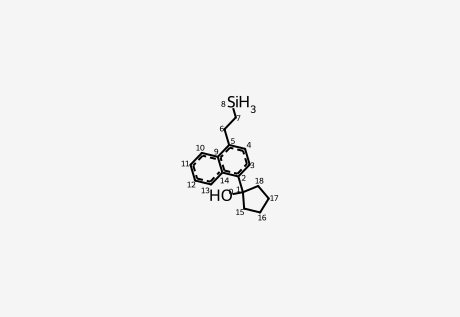 OC1(c2ccc(CC[SiH3])c3ccccc23)CCCC1